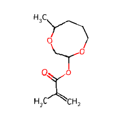 C=C(C)C(=O)OC1COC(C)CCCO1